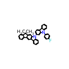 CC1(C)c2ccccc2-c2cc3c4ccccc4n(-c4ccc5c6ccccc6n(-c6ccc(F)cc6)c5c4)c3cc21